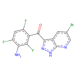 Nc1c(F)cc(F)c(C(=O)c2n[nH]c3ncc(Br)cc23)c1F